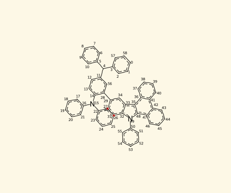 c1ccc(C(c2ccccc2)c2ccc(N(c3ccccc3)c3ccccc3)c(-c3ccc4c(c3)c3c5ccccc5c5ccccc5c3n4-c3ccccc3)c2)cc1